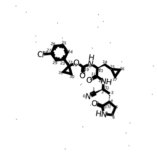 N#C[C@H](C[C@@H]1CCNC1=O)NC(=O)[C@H](CC1CC1)NC(=O)OC1(c2cccc(Cl)c2)CC1